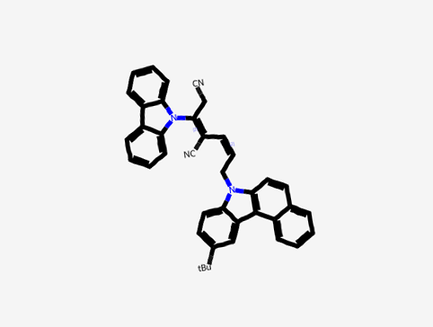 CC(C)(C)c1ccc2c(c1)c1c3ccccc3ccc1n2C/C=C\C(C#N)=C(/CC#N)n1c2ccccc2c2ccccc21